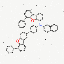 c1ccc(-c2cccc3c2oc2ccc(-c4ccc(N(c5ccc6ccccc6c5)c5cccc6c5oc5c(-c7ccccc7)cccc56)cc4)cc23)cc1